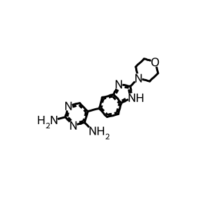 Nc1ncc(-c2ccc3[nH]c(N4CCOCC4)nc3c2)c(N)n1